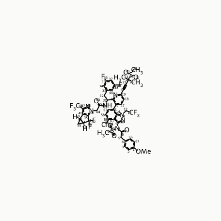 COc1ccc(CC(=O)N(c2nn(CC(F)(F)F)c3c(-c4ccc(C#CC(C)(C)S(C)(=O)=O)nc4C(Cc4cc(F)cc(F)c4)NC(=O)Cn4nc(C(F)(F)F)c5c4C(F)(F)[C@@H]4C[C@H]54)ccc(Cl)c23)S(C)(=O)=O)cc1